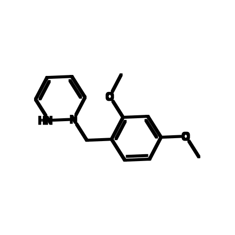 COc1ccc(CN2C=CC=CN2)c(OC)c1